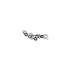 C=Cc1ccc(C2=CCC(C)(CC)/C(=C\CCC(C)c3ccccc3/C(C)=N/c3cc(C)c(C)cc3C)C2C)cc1